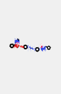 O=c1n(-c2ccc(NCCNc3ccc(OC[C@@H]4CO[C@@](Cn5nccn5)(c5ccccc5)O4)cc3)cc2)cnn1CC1CCCC1